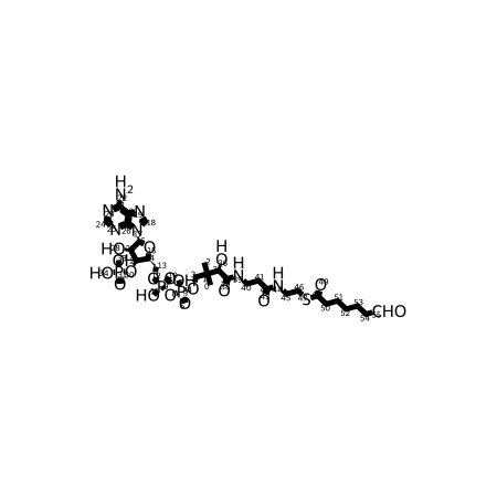 CC(C)(COP(=O)(O)OP(=O)(O)OC[C@H]1O[C@@H](n2cnc3c(N)ncnc32)[C@H](O)[C@@H]1OP(=O)(O)O)[C@@H](O)C(=O)NCCC(=O)NCCSC(=O)CCCCCC=O